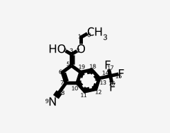 CCOC(O)=C1C=C(C#N)c2ccc(C(F)(F)F)cc21